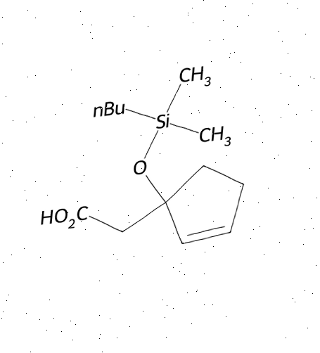 CCCC[Si](C)(C)OC1(CC(=O)O)C=CCC1